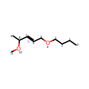 CCCCOC/C=C/C(C)OC